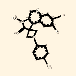 Cc1ccc(N2CC3(C2)C(=O)N(C)c2cnc4cc(F)c(Br)cc4c23)cc1